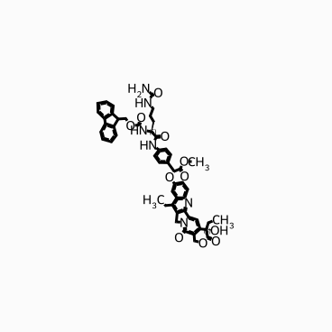 CCc1c2c(nc3ccc(OC(C(=O)OC)c4ccc(NC(=O)[C@H](CCCNC(N)=O)NC(=O)OCC5c6ccccc6-c6ccccc65)cc4)cc13)-c1cc3c(c(=O)n1C2)COC(=O)[C@]3(O)CC